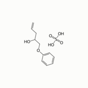 C=CCC(O)COc1ccccc1.O=S(=O)(O)O